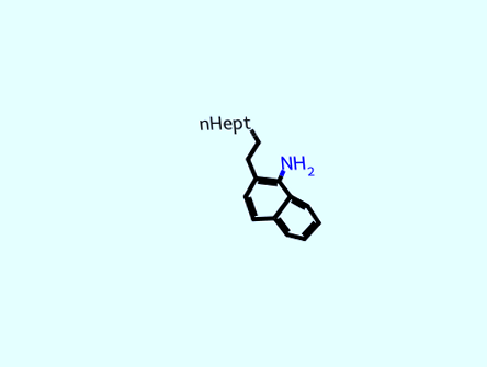 CCCCCCCCCc1ccc2ccccc2c1N